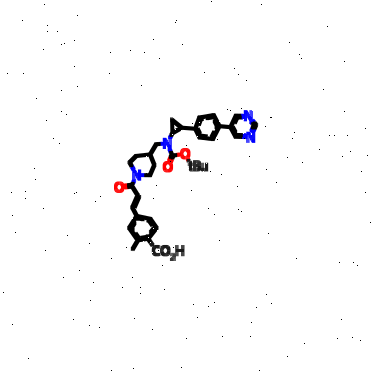 Cc1cc(/C=C/C(=O)N2CCC(CN(C(=O)OC(C)(C)C)C3CC3c3ccc(-c4cncnc4)cc3)CC2)ccc1C(=O)O